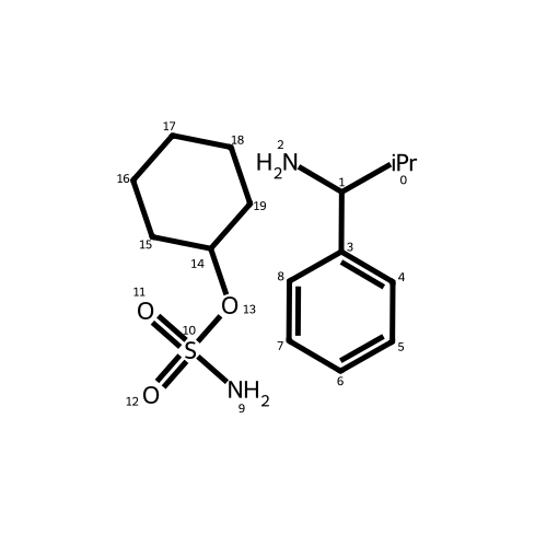 CC(C)C(N)c1ccccc1.NS(=O)(=O)OC1CCCCC1